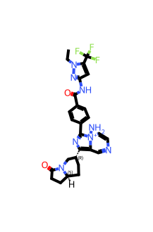 CCn1nc(NC(=O)c2ccc(C3=NC([C@@H]4CC[C@H]5CCC(=O)N5C4)=C4C=NC=C[N+]34N)cc2)cc1C(F)(F)F